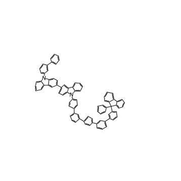 c1ccc(-c2cccc(-n3c4ccccc4c4cc(-c5ccc6c(c5)c5ccccc5n6-c5ccc(-c6cccc(-c7ccc(-c8cccc(-c9cccc(C%10(c%11ccccc%11)c%11ccccc%11-c%11ccccc%11%10)c9)c8)cc7)c6)cc5)ccc43)c2)cc1